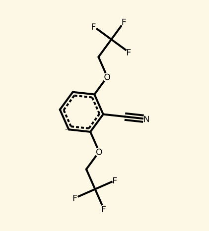 N#Cc1c(OCC(F)(F)F)[c]ccc1OCC(F)(F)F